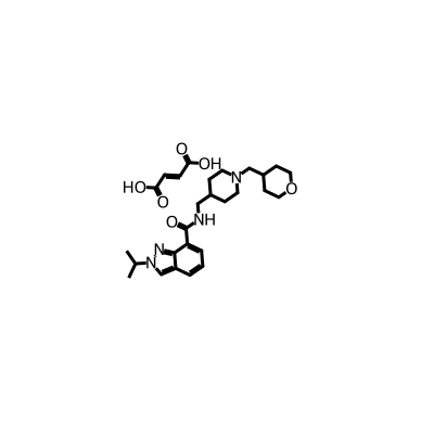 CC(C)n1cc2cccc(C(=O)NCC3CCN(CC4CCOCC4)CC3)c2n1.O=C(O)/C=C/C(=O)O